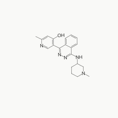 Cc1cc(O)c(-c2nnc(NC3CCCN(C)C3)c3ccccc23)cn1